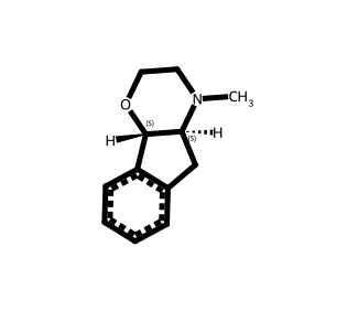 CN1CCO[C@H]2c3ccccc3C[C@@H]21